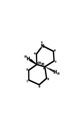 C1CC[C@@H]2C[N]CC[C@H]2C1